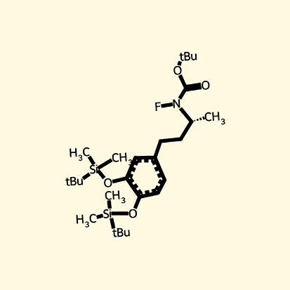 C[C@H](CCc1ccc(O[Si](C)(C)C(C)(C)C)c(O[Si](C)(C)C(C)(C)C)c1)N(F)C(=O)OC(C)(C)C